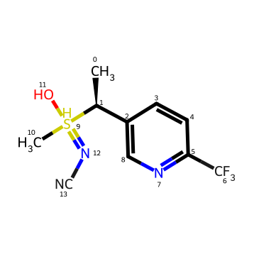 C[C@@H](c1ccc(C(F)(F)F)nc1)[SH](C)(O)=NC#N